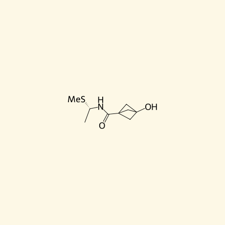 CS[C@@H](C)NC(=O)C12CC(O)(C1)C2